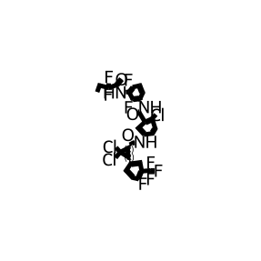 CCC(F)(F)C(=O)Nc1c(F)ccc(NC(=O)c2cc(NC(=O)[C@H]3[C@H](c4ccc(F)c(C(F)(F)F)c4)C3(Cl)Cl)ccc2Cl)c1F